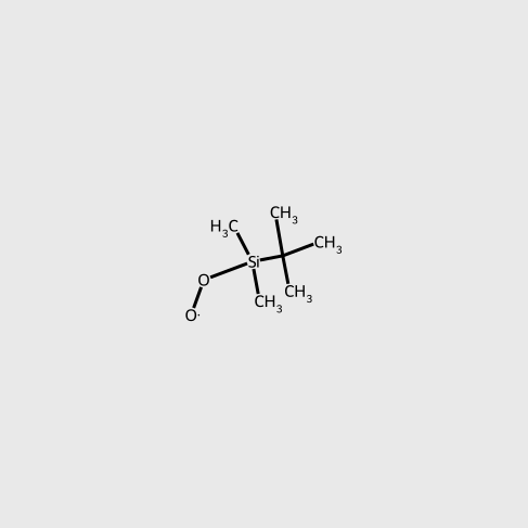 CC(C)(C)[Si](C)(C)O[O]